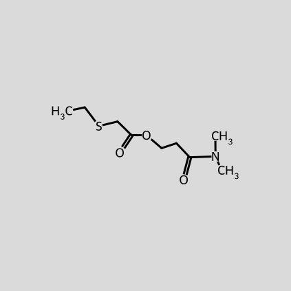 CCSCC(=O)OCCC(=O)N(C)C